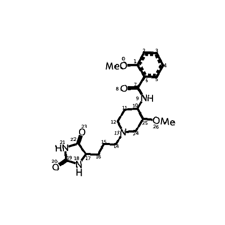 COc1ccccc1C(=O)NC1CCN(CCCC2NC(=O)NC2=O)CC1OC